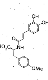 COc1ccc(C[C@H](NC(=O)/C=C/c2ccc(O)c(O)c2)C(=O)O)cc1